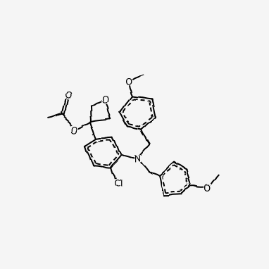 COc1ccc(CN(Cc2ccc(OC)cc2)c2cc(C3(OC(C)=O)COC3)ccc2Cl)cc1